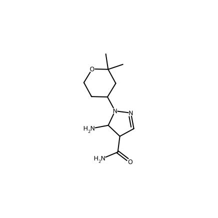 CC1(C)CC(N2N=CC(C(N)=O)C2N)CCO1